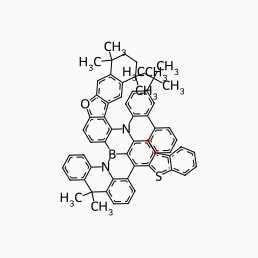 CC(C)(C)c1ccc(N2c3cc4c(sc5ccccc54)c4c3B(c3ccc5oc6cc7c(cc6c5c32)C(C)(C)CCC7(C)C)N2c3ccccc3C(C)(C)c3cccc-4c32)c(-c2ccccc2)c1